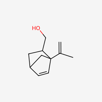 C=C(C)C12C=CC(CC1CO)C2